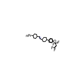 CCCC1CCC(/C=C/C2CCC(c3ccc(OC(F)(F)C=C(F)F)cc3)CC2)CC1